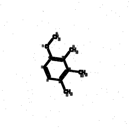 Cc1ccc(OC(F)(F)F)c(C)c1C